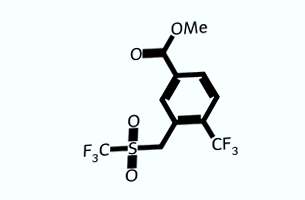 COC(=O)c1ccc(C(F)(F)F)c(CS(=O)(=O)C(F)(F)F)c1